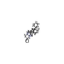 C=C(/N=C1/C=C(Cl)C=C/C1=C/N)c1ccc(C)c(-c2ccccc2)n1